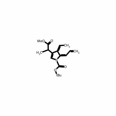 C=C/C=c1\c(=C/C)c(C(C)C(=O)OC)cn1C(=O)OC(C)(C)C